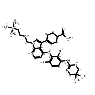 COC(=O)C1CC=C(c2cn(COCC[Si](C)(C)C)c3nccc(Oc4c(F)ccc(NC5=NCC(C)(C)CO5)c4F)c23)CC1